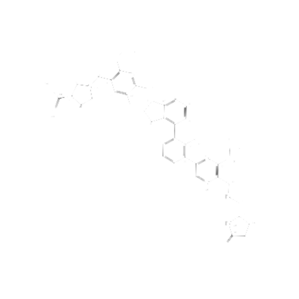 COc1nc(O[C@H]2CCc3c(-c4cccc(-c5cnc(CNC[C@@H]6CCC(=O)N6)c(OC)n5)c4C)cccc32)c(Cl)cc1CN1CC[C@@H](C(=O)O)C1